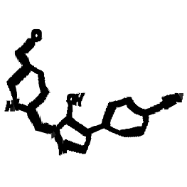 N#Cc1ccc(-c2cnn(CC3C=CC(C=O)=CN3)c2O)cc1